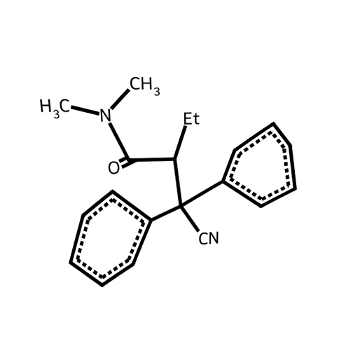 CCC(C(=O)N(C)C)C(C#N)(c1ccccc1)c1ccccc1